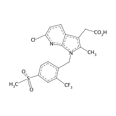 Cc1c(CC(=O)O)c2ccc(Cl)nc2n1Cc1ccc(S(C)(=O)=O)cc1C(F)(F)F